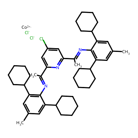 CC(=Nc1c(C2CCCCC2)cc(C)cc1C1CCCCC1)c1cc(Cl)cc(C(C)=Nc2c(C3CCCCC3)cc(C)cc2C2CCCCC2)n1.[Cl-].[Cl-].[Co+2]